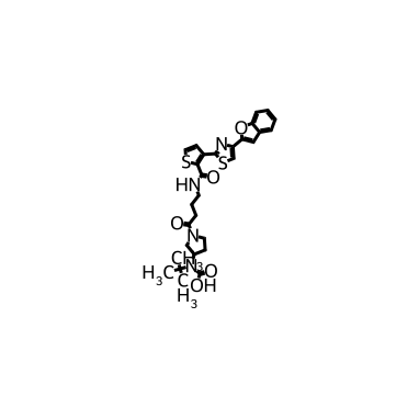 CC(C)(C)N(C(=O)O)C1CCN(C(=O)CCCNC(=O)c2sccc2-c2nc(-c3cc4ccccc4o3)cs2)C1